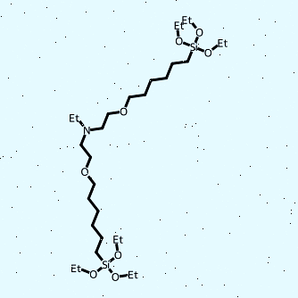 CCO[Si](CCCCCCOCCN(CC)CCOCCCCCC[Si](OCC)(OCC)OCC)(OCC)OCC